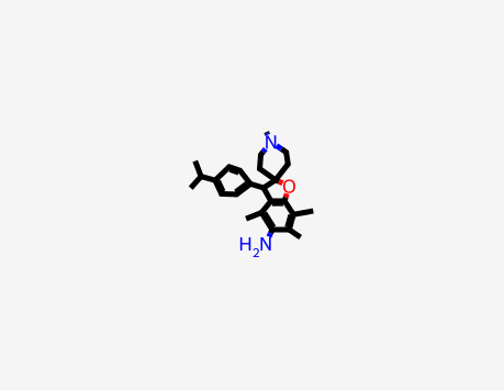 Cc1c(C)c2c(c(C)c1N)C(c1ccc(C(C)C)cc1)C1(CCN(C)CC1)O2